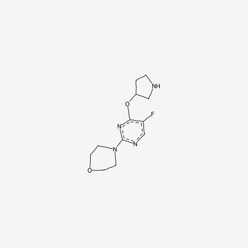 Fc1cnc(N2CCOCC2)nc1OC1CCNC1